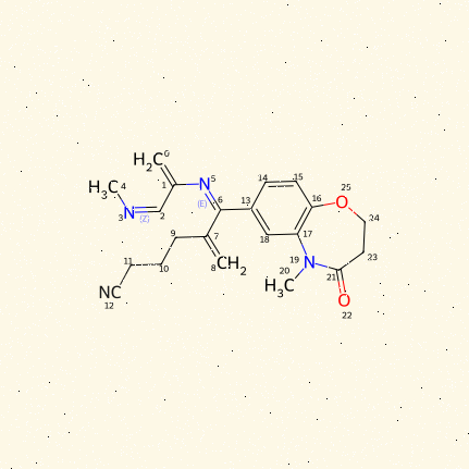 C=C(/C=N\C)/N=C(\C(=C)CCCC#N)c1ccc2c(c1)N(C)C(=O)CCO2